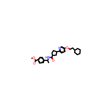 COC(=O)c1ccc(C(C)NC(=O)C2CCC(c3ccc(OCCC4CCCCC4)cn3)C2)cc1